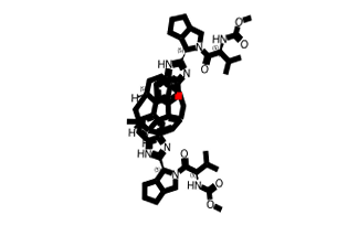 COC(=O)N[C@H](C(=O)N1CC2CCCC2[C@H]1c1nc2cc(C3=CC4=CC[C@@H]3C[C@@H](C)[C@@H]3C=CC(=C(c5ccc6[nH]c([C@@H]7C8CCCC8CN7C(=O)[C@@H](NC(=O)OC)C(C)C)nc6c5)C3)CC4)ccc2[nH]1)C(C)C